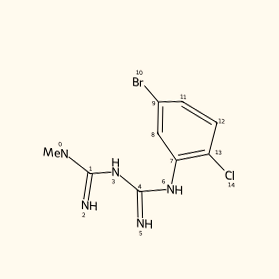 CNC(=N)NC(=N)Nc1cc(Br)ccc1Cl